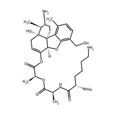 CC(=O)N[C@@H](CCCCN)C(=O)N[C@@H](C)C(=O)O[C@@H](C)C(=O)OC1=CC[C@@]2(O)[C@@H](C)N(N)CC[C@@]23c2c(C)ccc(CO)c2O[C@@H]13